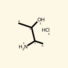 CC(N)C(C)O.Cl